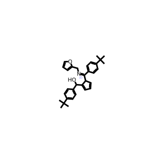 CC(C)(C)c1ccc(/C(=N\Cc2ccco2)C2C=CC=C2C(O)c2ccc(C(C)(C)C)cc2)cc1